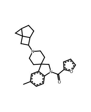 Cc1ccc2c(c1)C1(CCN(C3CC45CC4CCC35)CC1)CN2C(=O)c1ccco1